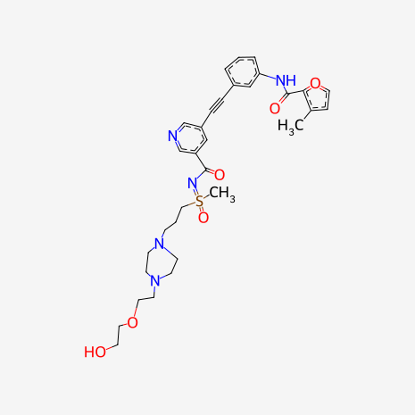 Cc1ccoc1C(=O)Nc1cccc(C#Cc2cncc(C(=O)N=S(C)(=O)CCCN3CCN(CCOCCO)CC3)c2)c1